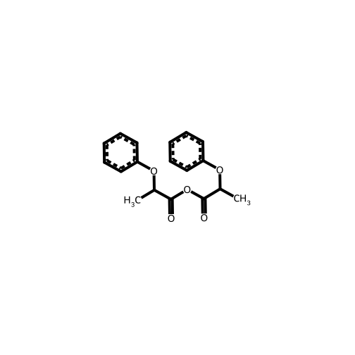 CC(Oc1ccccc1)C(=O)OC(=O)C(C)Oc1ccccc1